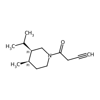 C#CCC(=O)N1CC[C@@H](C)[C@@H](C(C)C)C1